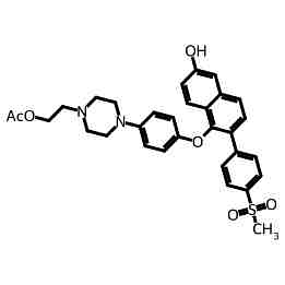 CC(=O)OCCN1CCN(c2ccc(Oc3c(-c4ccc(S(C)(=O)=O)cc4)ccc4cc(O)ccc34)cc2)CC1